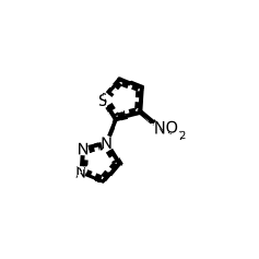 O=[N+]([O-])c1ccsc1-n1ccnn1